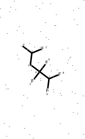 [CH2]C(F)CC(F)(F)C(F)F